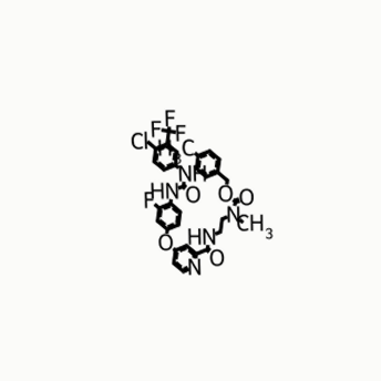 Cc1ccc(COC(=O)N(C)CCNC(=O)c2cc(Oc3ccc(NC(=O)Nc4ccc(Cl)c(C(F)(F)F)c4)c(F)c3)ccn2)cc1